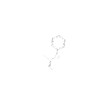 CC(=O)/C=C(/C)Nc1ccccc1